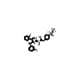 O=C(Cc1ccc(S(=O)(=O)CC(F)(F)F)cc1)Nc1ncc(-c2ccccc2F)c(C(=O)c2cccc(Cl)c2)n1